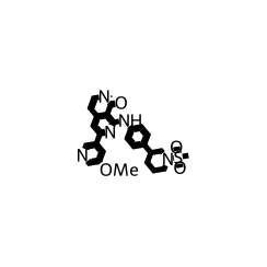 COc1cncc(-c2cc3c(c(Nc4ccc(C5CCCN(S(C)(=O)=O)C5)cc4)n2)C(=O)[N]C=C3)c1